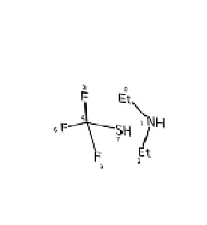 CCNCC.FC(F)(F)S